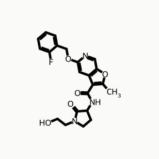 Cc1oc2cnc(OCc3ccccc3F)cc2c1C(=O)NC1CCN(CCO)C1=O